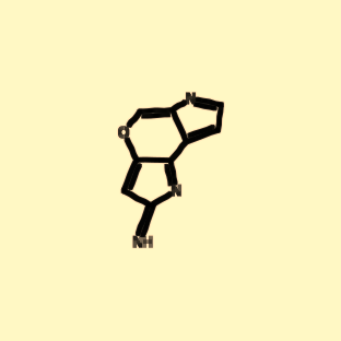 N=C1C=c2occ3nccc-3c2=N1